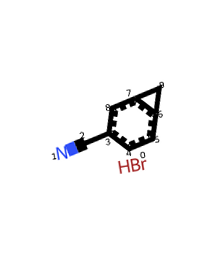 Br.N#Cc1ccc2c(c1)C2